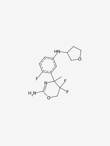 CC1(c2cc(NC3CCOC3)ccc2F)N=C(N)OCC1(F)F